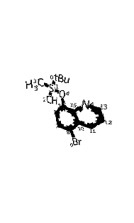 CC(C)(C)[Si](C)(C)Oc1ccc(Br)c2cccnc12